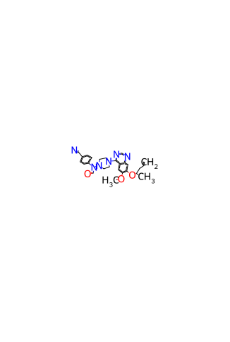 C=CCC(C)Oc1cc2ncnc(N3CCN(N(C=O)c4ccc(C#N)cc4)CC3)c2cc1OC